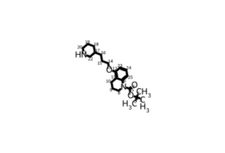 CC(C)(C)OC(=O)N1CCCc2c(OCCCC3CCCNC3)cccc21